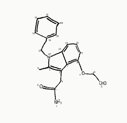 Cc1c(CC(N)=O)c2c(OCC=O)cccc2n1Cc1ccccc1